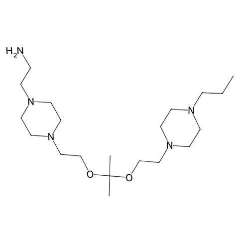 CCCN1CCN(CCOC(C)(C)OCCN2CCN(CCN)CC2)CC1